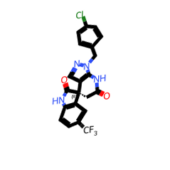 O=C1C[C@]2(C(=O)Nc3ccc(C(F)(F)F)cc32)c2cnn(Cc3ccc(Cl)cc3)c2N1